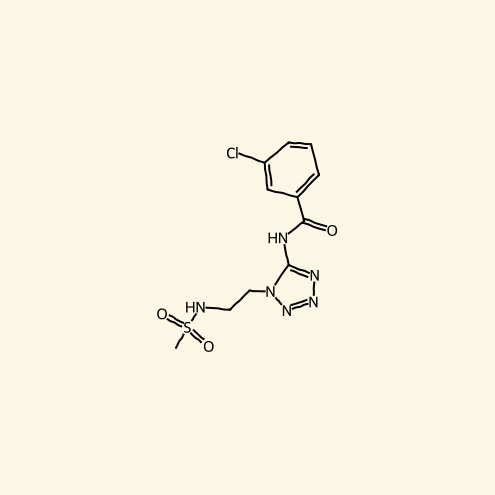 CS(=O)(=O)NCCn1nnnc1NC(=O)c1cccc(Cl)c1